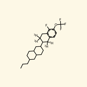 [2H]C1([2H])Cc2c(ccc(OC(F)(F)F)c2F)C([2H])([2H])C1C1CCC2CC(CCC)CCC2C1